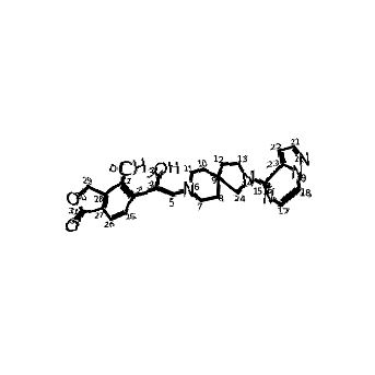 Cc1c(C(O)CN2CCC3(CC2)CCN(c2nccn4nccc24)C3)ccc2c1COC2=O